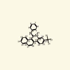 Cn1/c(=N\c2ccccc2)c2c3ccccc3ccc2c2ccc(C(C)(C)C)cc21